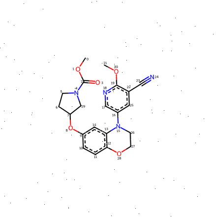 COC(=O)N1CCC(Oc2ccc3c(c2)N(c2cnc(OC)c(C#N)c2)CCO3)C1